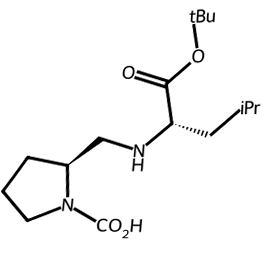 CC(C)C[C@H](NC[C@@H]1CCCN1C(=O)O)C(=O)OC(C)(C)C